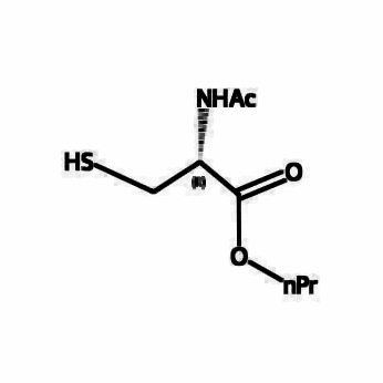 CCCOC(=O)[C@H](CS)NC(C)=O